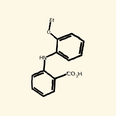 CCOc1ccccc1Nc1ccccc1C(=O)O